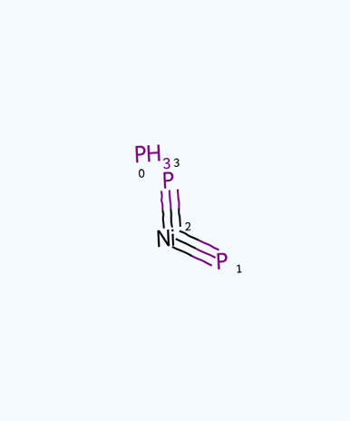 P.[P]#[Ni]#[P]